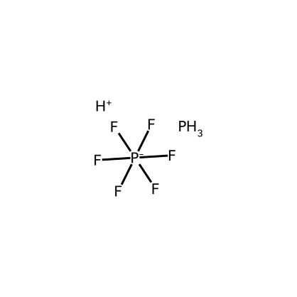 F[P-](F)(F)(F)(F)F.P.[H+]